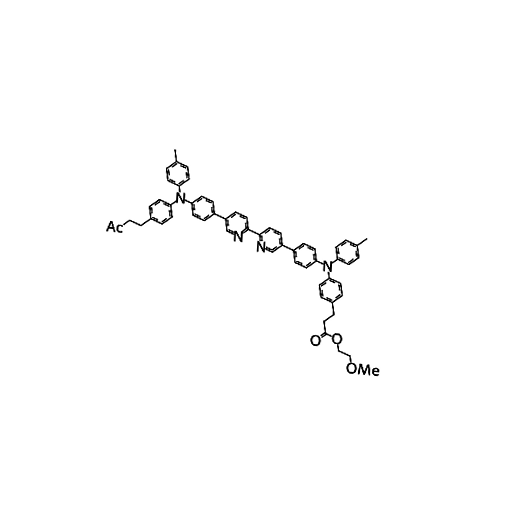 COCCOC(=O)CCc1ccc(N(c2ccc(C)cc2)c2ccc(-c3ccc(-c4ccc(-c5ccc(N(c6ccc(C)cc6)c6ccc(CCC(C)=O)cc6)cc5)cn4)nc3)cc2)cc1